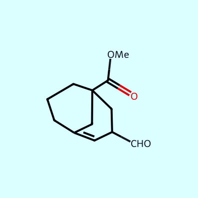 COC(=O)C12CCCC(=CC(C=O)C1)C2